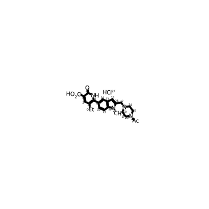 CCc1cc(C(=O)O)c(=O)[nH]c1-c1ccc2c(c1)cc(CN1CCN(C(C)=O)CC1)n2C.Cl